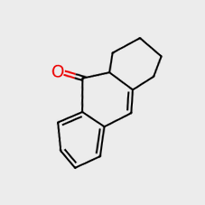 O=C1c2ccccc2C=C2CCCCC12